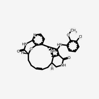 COc1c(Cl)cccc1Nc1c2[nH]c3c1C(=O)NC[C@H]3C/C=C\CC[C@H]1Oc3c-2ccnc3NC1=O